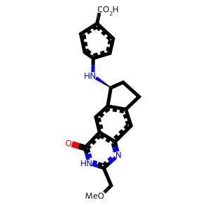 COCc1nc2cc3c(cc2c(=O)[nH]1)[C@@H](Nc1ccc(C(=O)O)cc1)CC3